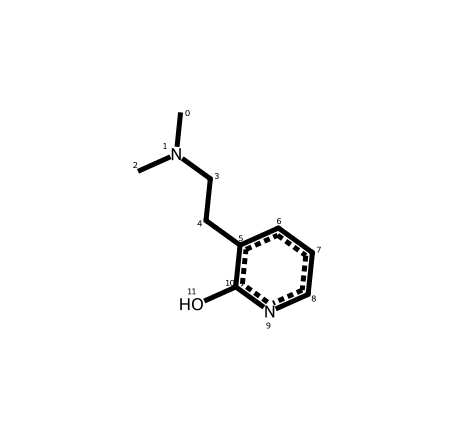 CN(C)CCc1cccnc1O